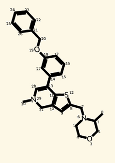 CC1COCCN1Cc1cc2c(s1)C(c1cccc(OCc3ccccc3)c1)=CN(C)C2